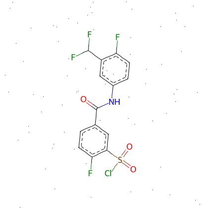 O=C(Nc1ccc(F)c(C(F)F)c1)c1ccc(F)c(S(=O)(=O)Cl)c1